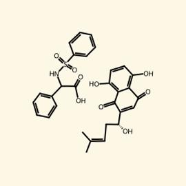 CC(C)=CC[C@@H](O)C1=CC(=O)c2c(O)ccc(O)c2C1=O.O=C(O)C(NS(=O)(=O)c1ccccc1)c1ccccc1